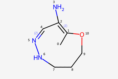 C/C1=C(N)\C=N/NCCCO1